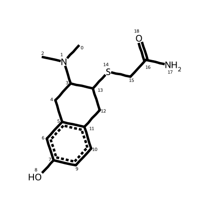 CN(C)C1Cc2cc(O)ccc2CC1SCC(N)=O